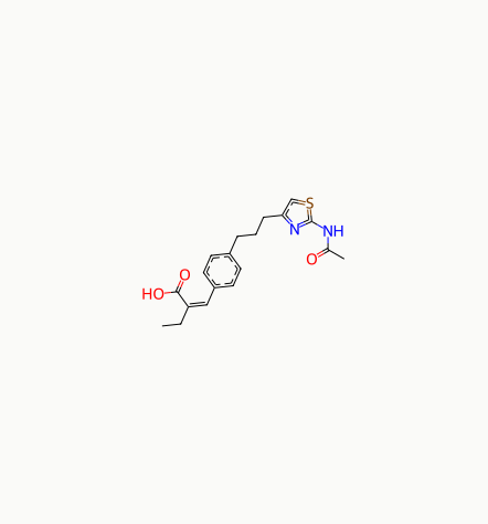 CCC(=Cc1ccc(CCCc2csc(NC(C)=O)n2)cc1)C(=O)O